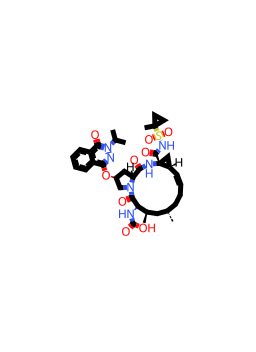 CC(C)n1nc(O[C@@H]2C[C@H]3C(=O)N[C@]4(C(=O)NS(=O)(=O)C5(C)CC5)C[C@H]4/C=C\CC[C@H](C)C[C@@H](C)[C@H](NC(=O)O)C(=O)N3C2)c2ccccc2c1=O